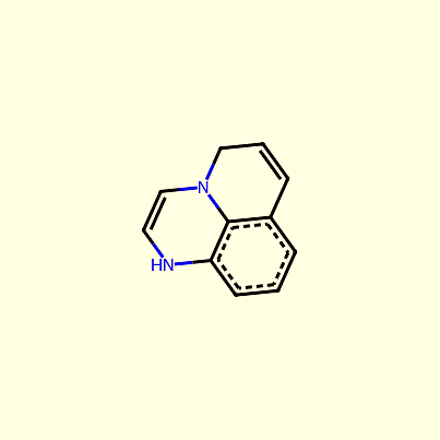 C1=Cc2cccc3c2N(C=CN3)C1